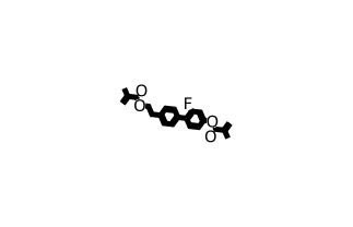 C=C(C)C(=O)OCCc1ccc(-c2ccc(OC(=O)C(=C)C)cc2F)cc1